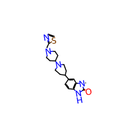 O=C1[N]c2cc(C3CCN(C4CCN(Cc5nccs5)CC4)CC3)ccc2N1